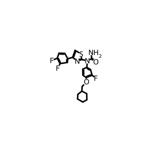 NC(=O)N(c1ccc(OCC2CCCCC2)c(F)c1)c1nc(-c2ccc(F)c(F)c2)cs1